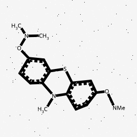 CNOc1ccc2c(c1)Sc1cc(ON(C)C)ccc1N2C